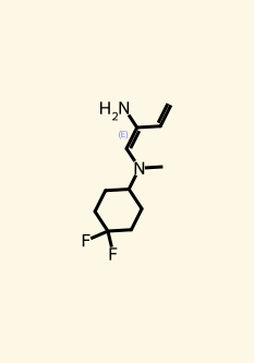 C=C/C(N)=C\N(C)C1CCC(F)(F)CC1